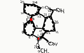 COC(=O)c1ccccc1-c1c(C(=O)O)ccc(C(=O)O)c1-c1ccccc1Cl